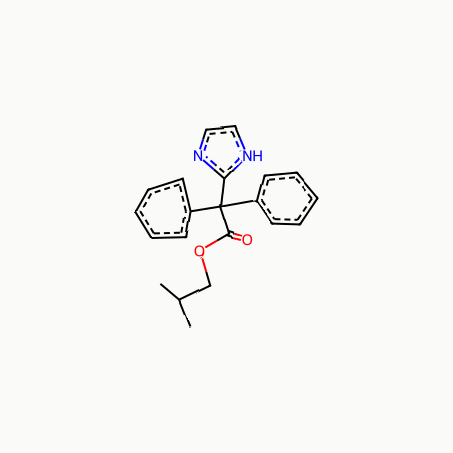 CC(C)COC(=O)C(c1ccccc1)(c1ccccc1)c1ncc[nH]1